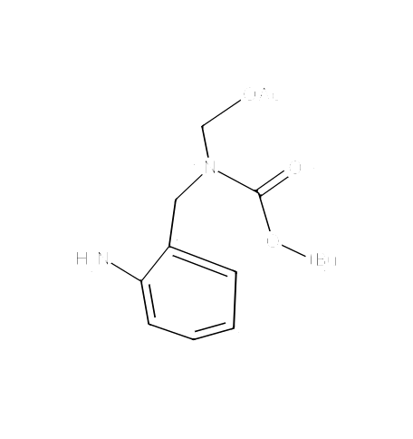 CC(=O)OCN(Cc1ccccc1N)C(=O)OC(C)(C)C